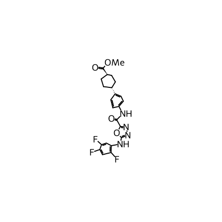 COC(=O)[C@H]1CC[C@H](c2ccc(NC(=O)c3nnc(Nc4cc(F)c(F)cc4F)o3)cc2)CC1